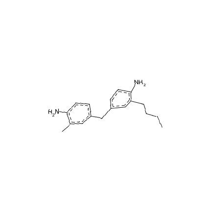 CCCCc1cc(Cc2ccc(N)c(C)c2)ccc1N